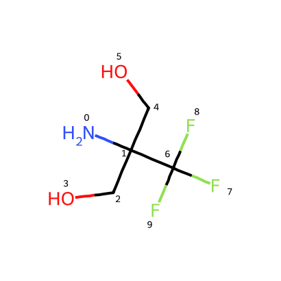 NC(CO)(CO)C(F)(F)F